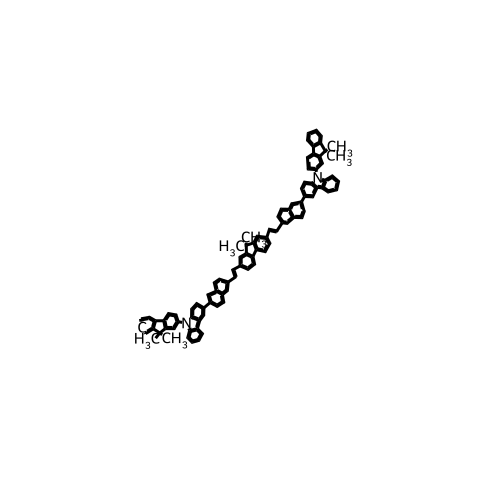 CC1(C)c2cc(/C=C/c3ccc4cc(-c5ccc6c(c5)c5ccccc5n6-c5ccc6c(c5)C(C)(C)c5ccccc5-6)ccc4c3)ccc2-c2ccc(/C=C/c3ccc4cc(-c5ccc6c(c5)c5ccccc5n6-c5ccc6c(c5)C(C)(C)c5ccccc5-6)ccc4c3)cc21